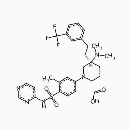 Cc1cc(N2CCC[C@](CCc3cccc(C(F)(F)F)c3)(N(C)C)C2)ccc1S(=O)(=O)Nc1ccncn1.O=CO